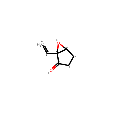 C=CC12OC1CCC2=O